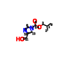 CC(C)COC(=O)n1cnc(CO)c1